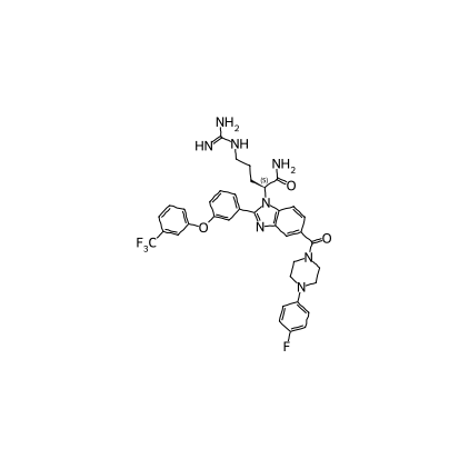 N=C(N)NCCC[C@@H](C(N)=O)n1c(-c2cccc(Oc3cccc(C(F)(F)F)c3)c2)nc2cc(C(=O)N3CCN(c4ccc(F)cc4)CC3)ccc21